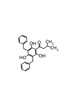 CC(C)CC(=O)c1c(O)c(Cc2ccccc2)c(O)c(Cc2ccccc2)c1O